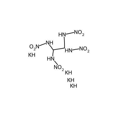 O=[N+]([O-])NC(N[N+](=O)[O-])C(N[N+](=O)[O-])N[N+](=O)[O-].[KH].[KH].[KH].[KH]